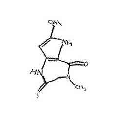 Cn1c(=S)[nH]c2cc(O)[nH]c2c1=O